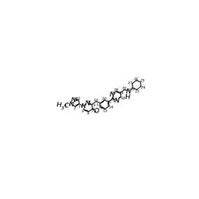 Cn1cc(-n2ccc(=O)c(Cc3cccc(-c4ncc(CNC5CCCCC5)cn4)c3)n2)cn1